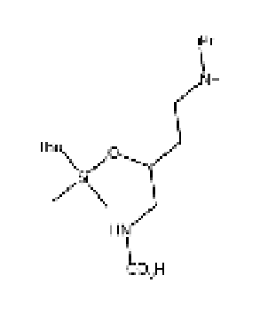 CC(C)NCCC(CNC(=O)O)O[Si](C)(C)C(C)(C)C